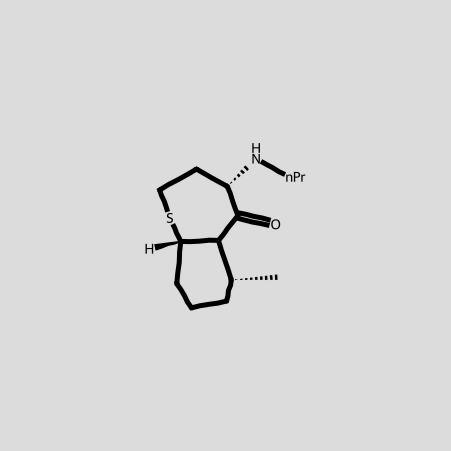 CCCN[C@H]1CCS[C@H]2CCC[C@@H](C)C2C1=O